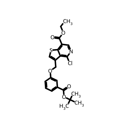 CCOC(=O)c1cnc(Cl)c2c(COc3cccc(C(=O)OC(C)(C)C)c3)csc12